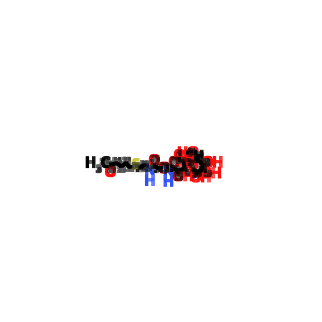 COC(CO)C(OC1OC(CO)C(O)C(O)C1O)C(O)[C@H](O)NOCC(=O)NCCSCCCCC(C)=O